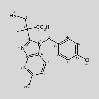 CC(CS)(C(=O)O)c1nc2nc(Cl)ccc2n1Cc1ccc(Cl)cc1